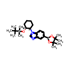 CC1(C)OB(c2ccc3c(c2)ncn3[C@@H]2CCCC[C@H]2O[Si](C)(C)C(C)(C)C)OC1(C)C